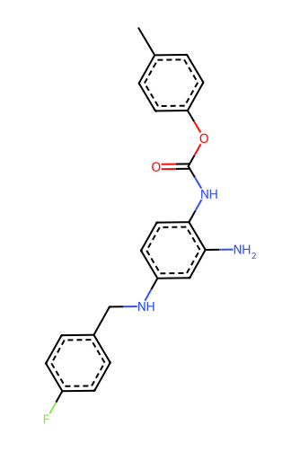 Cc1ccc(OC(=O)Nc2ccc(NCc3ccc(F)cc3)cc2N)cc1